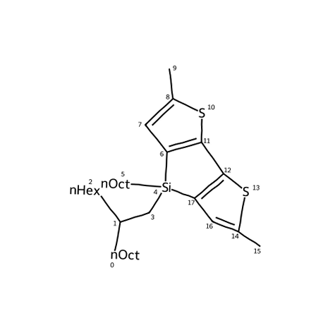 CCCCCCCCC(CCCCCC)C[Si]1(CCCCCCCC)c2cc(C)sc2-c2sc(C)cc21